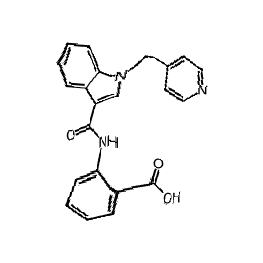 O=C(O)c1ccccc1NC(=O)c1cn(Cc2ccncc2)c2ccccc12